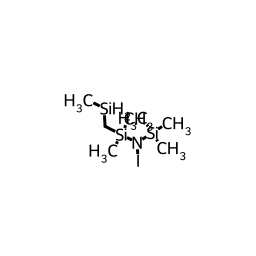 C[SiH2]C[Si](C)(C)N(I)[Si](C)(C)C